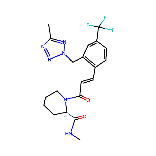 CNC(=O)[C@@H]1CCCCN1C(=O)C=Cc1ccc(C(F)(F)F)cc1Cn1nnc(C)n1